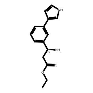 CCOC(=O)C[C@H](N)c1cccc(-c2cc[nH]c2)c1